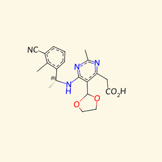 Cc1nc(CC(=O)O)c(C2OCCO2)c(N[C@H](C)c2cccc(C#N)c2C)n1